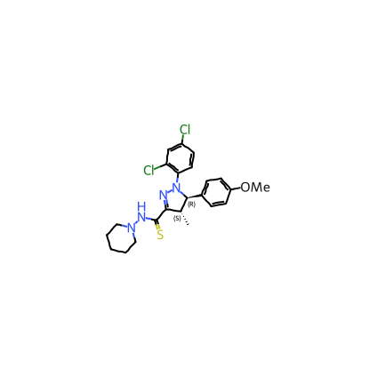 COc1ccc([C@H]2[C@H](C)C(C(=S)NN3CCCCC3)=NN2c2ccc(Cl)cc2Cl)cc1